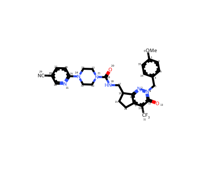 COc1ccc(Cn2nc3c(c(C(F)(F)F)c2=O)CCC3CNC(=O)N2CCN(c3ccc(C#N)cn3)CC2)cc1